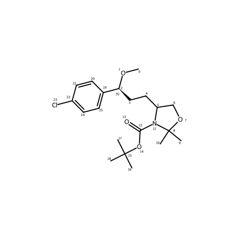 CO[C@@H](CCC1COC(C)(C)N1C(=O)OC(C)(C)C)c1ccc(Cl)cc1